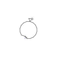 C1=C/CCCCCCC2(CCCCCCC/1)CO2